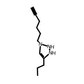 C#CCCCCN1C=C(CCC)NN1